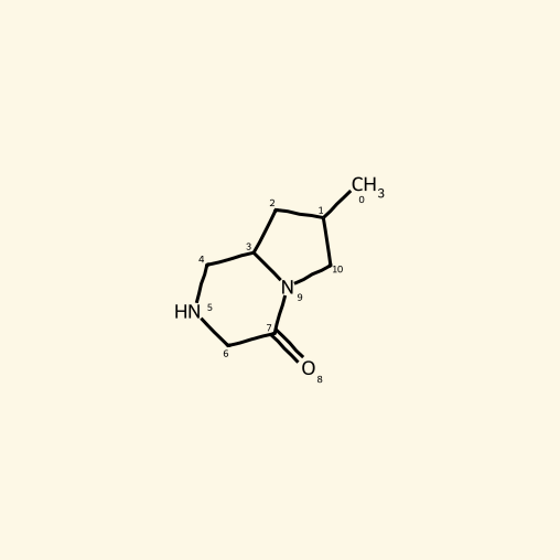 CC1CC2CNCC(=O)N2C1